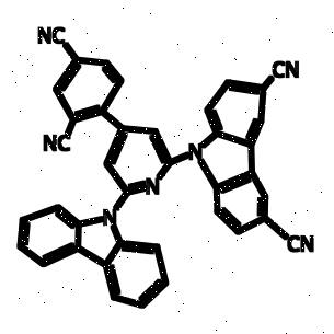 N#Cc1ccc(-c2cc(-n3c4ccccc4c4ccccc43)nc(-n3c4ccc(C#N)cc4c4cc(C#N)ccc43)c2)c(C#N)c1